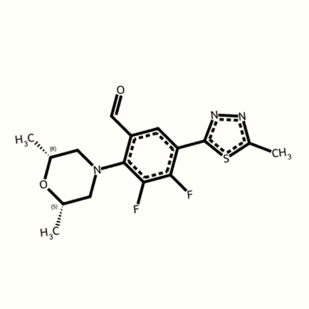 Cc1nnc(-c2cc(C=O)c(N3C[C@@H](C)O[C@@H](C)C3)c(F)c2F)s1